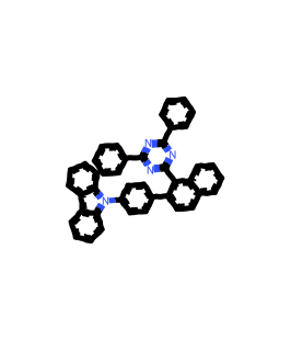 c1ccc(-c2nc(-c3ccccc3)nc(-c3c(-c4ccc(-n5c6ccccc6c6ccccc65)cc4)ccc4ccccc34)n2)cc1